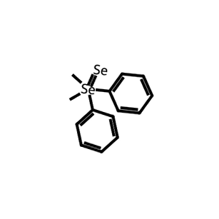 C[Se](C)(=[Se])(c1ccccc1)c1ccccc1